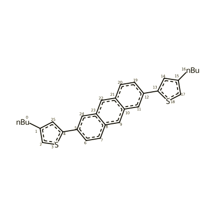 CCCCc1csc(-c2ccc3cc4cc(-c5cc(CCCC)cs5)ccc4cc3c2)c1